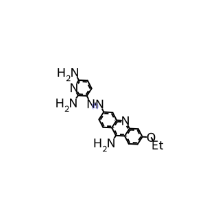 CCOc1ccc2c(N)c3ccc(/N=N/c4ccc(N)nc4N)cc3nc2c1